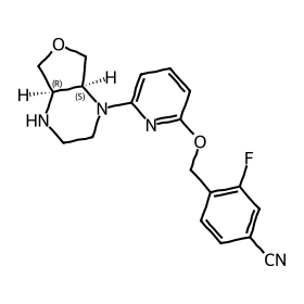 N#Cc1ccc(COc2cccc(N3CCN[C@H]4COC[C@H]43)n2)c(F)c1